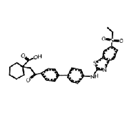 CCS(=O)(=O)c1ccc2nc(Nc3ccc(-c4ccc(C(=O)CC5(C(=O)O)CCCCC5)cc4)cc3)sc2c1